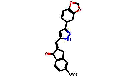 COc1ccc2c(c1)C/C(=C\c1cc(C3C=CC4=C(C3)OCO4)n[nH]1)C2=O